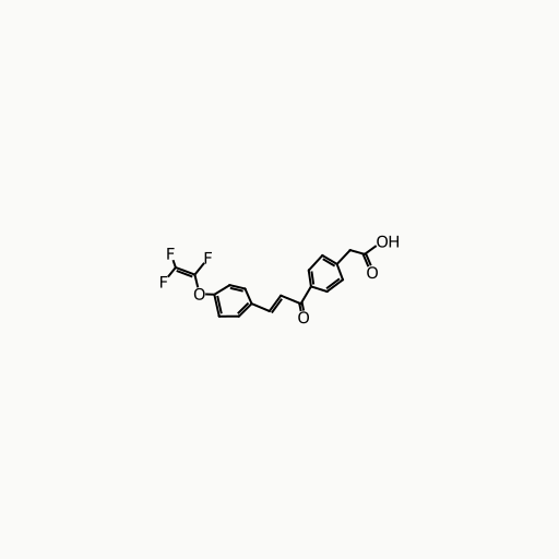 O=C(O)Cc1ccc(C(=O)C=Cc2ccc(OC(F)=C(F)F)cc2)cc1